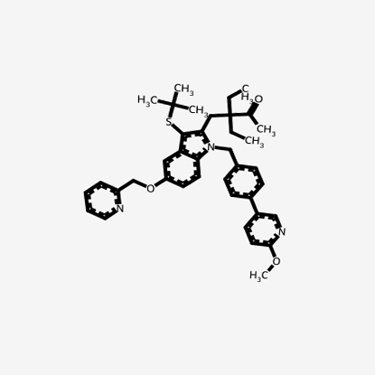 CCC(CC)(Cc1c(SC(C)(C)C)c2cc(OCc3ccccn3)ccc2n1Cc1ccc(-c2ccc(OC)nc2)cc1)C(C)=O